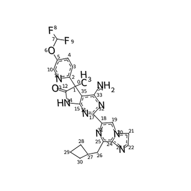 CC1(c2ccc(OC(F)F)cn2)C(=O)Nc2nc(-c3cn4ccnc4c(CC4CCC4)n3)nc(N)c21